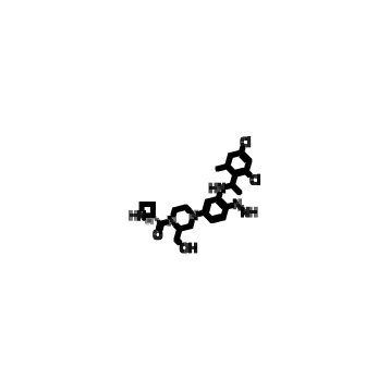 CC1CC(Cl)=CC(Cl)=C1C(C)Nc1cc(N2CCN(C(=O)[C@H]3CCN3)C(CO)C2)ccc1N=N